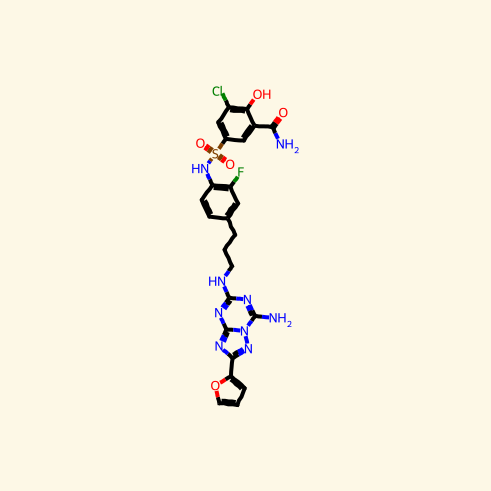 NC(=O)c1cc(S(=O)(=O)Nc2ccc(CCCNc3nc(N)n4nc(-c5ccco5)nc4n3)cc2F)cc(Cl)c1O